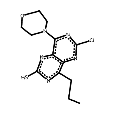 CCCc1nc(S)nc2c(N3CCOCC3)nc(Cl)nc12